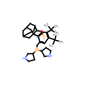 CC(C)(C)c1cc(CP(C2CCNC2)C2CCNC2)c(C23CC4CC(CC(C4)C2CP)C3)cc1C(C)(C)C